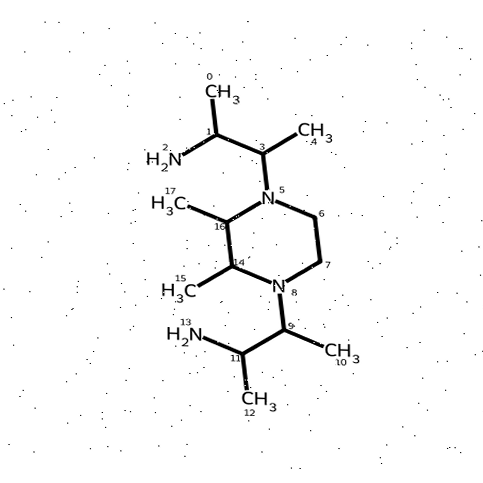 CC(N)C(C)N1CCN(C(C)C(C)N)C(C)C1C